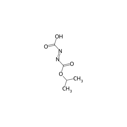 CC(C)OC(=O)N=NC(=O)O